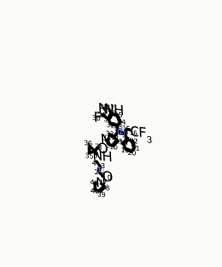 O=C(/C=C/CNC1(COc2ccc(/C(=C(/CC(F)(F)F)c3ccccc3)c3ccc4[nH]nc(F)c4c3)cn2)CC1)N1C=CCC1